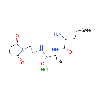 CCC(C)[C@H](NC(=O)[C@@H](N)CCSC)C(=O)NCCN1C(=O)C=CC1=O.Cl